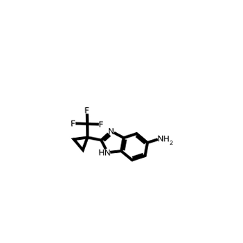 Nc1ccc2[nH]c(C3(C(F)(F)F)CC3)nc2c1